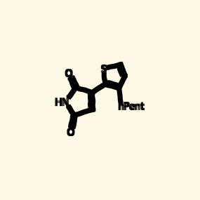 CCCCCc1ccsc1C1=CC(=O)NC1=O